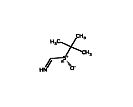 CC(C)(C)[S@+]([O-])C=N